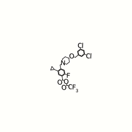 O=C(OC(=O)C(F)(F)F)c1cc(C2CC2)c(CN2CCC(OCc3cc(Cl)cc(Cl)c3)CC2)cc1F